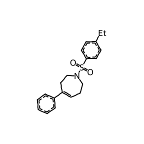 CCc1ccc(S(=O)(=O)N2CCC=C(c3ccccc3)CC2)cc1